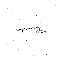 CC/C=C(\C)CCCCCCCC(C)C(=O)O